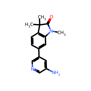 CN1C(=O)C(C)(C)c2ccc(-c3cncc(N)c3)cc21